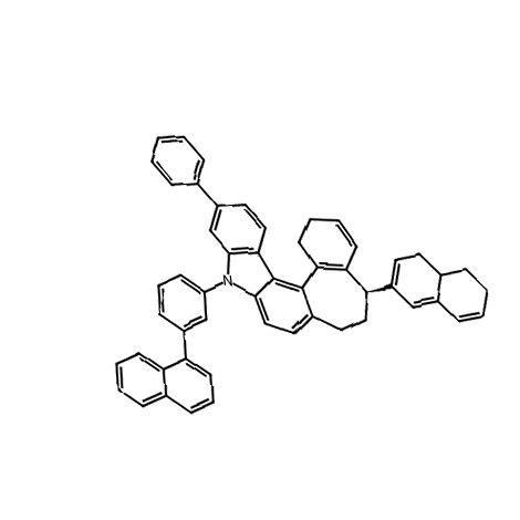 C1=CC2=C(CC1)c1c(ccc3c1c1ccc(-c4ccccc4)cc1n3-c1cccc(-c3cccc4ccccc34)c1)CC[C@@H]2C1=CCC2CCC=CC2=C1